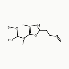 C=NCCC1NC(F)=C(N(C)C(O)OCC)S1